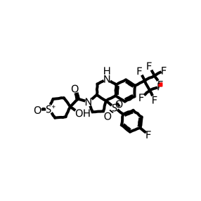 O=C(N1CCC2(S(=O)(=O)c3ccc(F)cc3)c3ccc(C(F)(C(F)(F)F)C(F)(F)F)cc3NCC12)C1(O)CC[S+]([O-])CC1